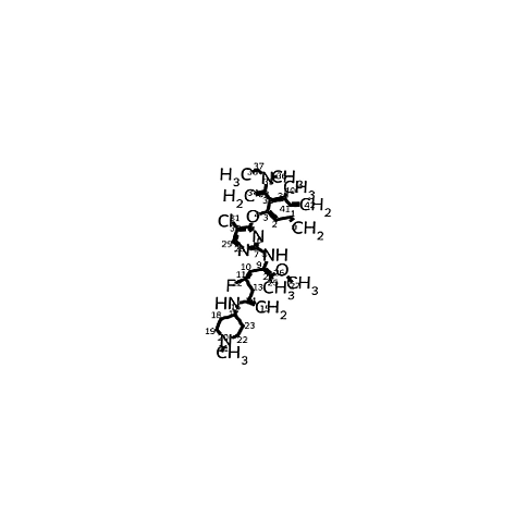 C=C/C=C(Oc1nc(NC(/C=C(/F)CC(=C)NC2CCN(C)CC2)=C(/C)OC)ncc1Cl)\C(C(=C)N(C)CC)=C(\C)C=C